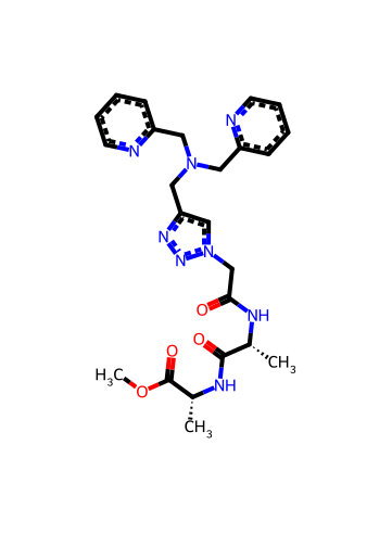 COC(=O)[C@@H](C)NC(=O)[C@@H](C)NC(=O)Cn1cc(CN(Cc2ccccn2)Cc2ccccn2)nn1